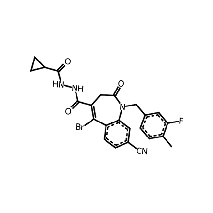 Cc1ccc(CN2C(=O)CC(C(=O)NNC(=O)C3CC3)=C(Br)c3ccc(C#N)cc32)cc1F